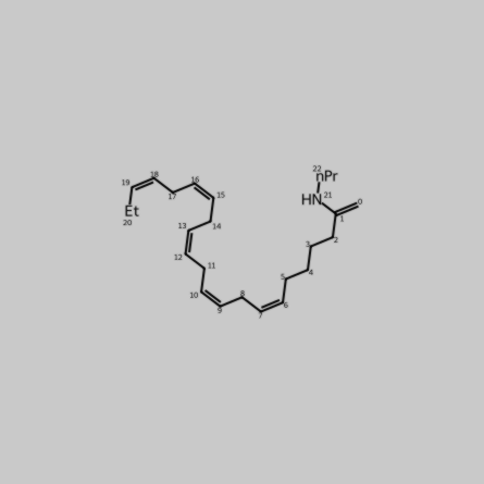 C=C(CCCC/C=C\C/C=C\C/C=C\C/C=C\C/C=C\CC)NCCC